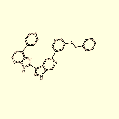 c1ccc(COc2cncc(-c3cc4c(-c5cc6c(-c7ccncc7)ccnc6[nH]5)n[nH]c4cn3)c2)cc1